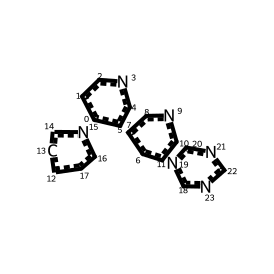 c1ccncc1.c1ccncc1.c1ccncc1.c1ncncn1